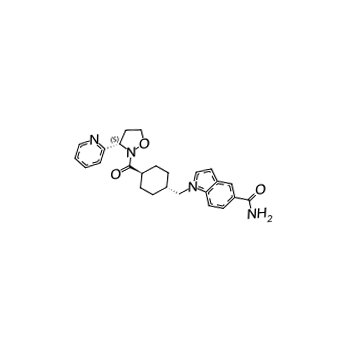 NC(=O)c1ccc2c(ccn2C[C@H]2CC[C@H](C(=O)N3OCC[C@H]3c3ccccn3)CC2)c1